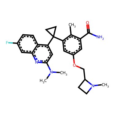 Cc1c(C(N)=O)cc(OCC2CCN2C)cc1C1(c2cc(N(C)C)nc3cc(F)ccc23)CC1